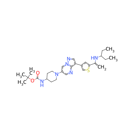 C=C(NC(CC)CC)c1cc(-c2cnn3cc(N4CCC(NC(=O)OC(C)(C)C)CC4)cnc23)cs1